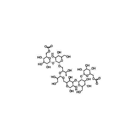 C[C@H](O)C(CO[C@H]1OC(CO)[C@@H](O)C(O)[C@H]1O[C@H]1OC(COP(=O)=O)[C@@H](O)C(O)[C@H]1O)O[C@H](OCC1O[C@@H](O)[C@H](O)C(O[C@H]2OC(CO)[C@@H](O)C(O)[C@H]2O[C@H]2OC(COP(=O)=O)[C@@H](O)C(O)[C@H]2O)[C@@H]1O)[C@H](O)CO